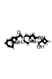 O=C(c1cc2ccccc2[nH]1)N1CCn2nc(NC3(CO)CCC3)cc2C1